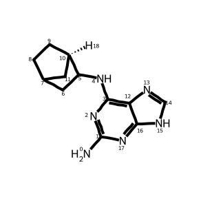 Nc1nc(NC2CC3CC[C@@H]2C3)c2nc[nH]c2n1